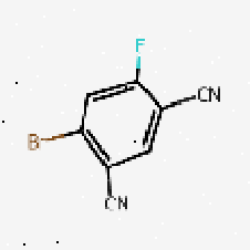 N#Cc1cc(C#N)c(Br)cc1F